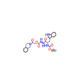 CC(C)(C)OC(=O)N[C@H](Cc1c[nH]c2ccccc12)C(=O)NNC(=O)OCC(=O)N1CCc2ccccc2C1